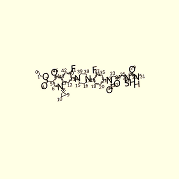 CCOC(=O)c1cn(C2CC2)c2cc(N3CCN(c4ccc(N5C[C@@H](CN(S)C(=O)NC)OC5=O)cc4F)CC3)c(F)cc2c1=O